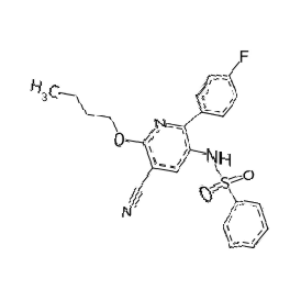 CCCCOc1nc(-c2ccc(F)cc2)c(NS(=O)(=O)c2ccccc2)cc1C#N